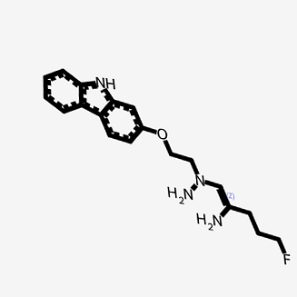 N/C(=C\N(N)CCOc1ccc2c(c1)[nH]c1ccccc12)CCCF